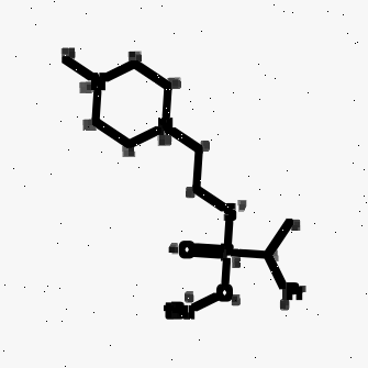 CC(C)C(C)P(=O)(OC(C)(C)C)SCCN1CCN(C)CC1